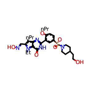 CCCOc1ccc(S(=O)(=O)N2CCC(CCO)CC2)cc1-c1nc2c(CCC)c(C=NO)n(CC)c2c(=O)[nH]1